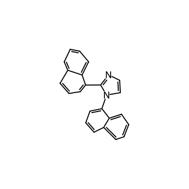 c1ccc2c(-c3nccn3-c3cccc4ccccc34)cccc2c1